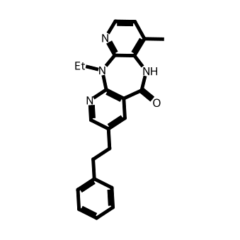 CCN1c2ncc(CCc3ccccc3)cc2C(=O)Nc2c(C)ccnc21